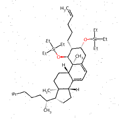 C=CCCC[C@@H]1[C@H](O[Si](CC)(CC)CC)CC2=CC=C3[C@@H]4CC[C@H]([C@H](C)CCCC(C)C)[C@@]4(C)CC[C@@H]3[C@@]2(C)[C@H]1O[Si](CC)(CC)CC